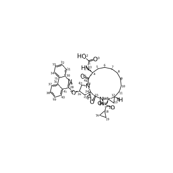 O=C(O)N[C@H]1CCCCCCC[C@@H]2C[C@]2(S(=O)(=O)C2CC2)NC(=O)[C@@H]2C[C@@H](Oc3nc4ccccc4c4ccccc34)CN2C1=O